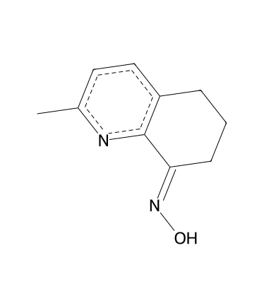 Cc1ccc2c(n1)/C(=N/O)CCC2